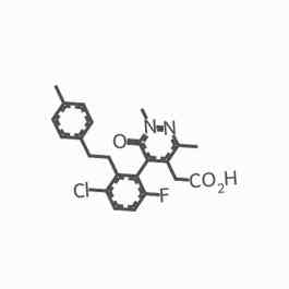 Cc1ccc(CCc2c(Cl)ccc(F)c2-c2c(CC(=O)O)c(C)nn(C)c2=O)cc1